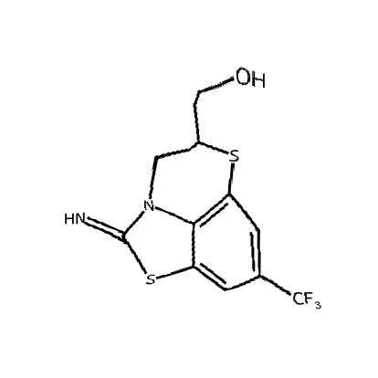 N=c1sc2cc(C(F)(F)F)cc3c2n1CC(CO)S3